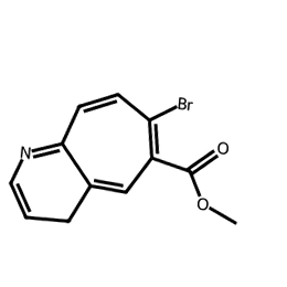 COC(=O)C1=C(Br)C=CC2=NC=CCC2=C1